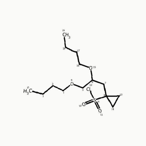 CCCCOCC(CC1(S(=O)(=O)Cl)CC1)OCCCC